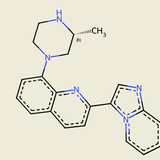 C[C@@H]1CN(c2cccc3ccc(-c4cnc5ccccn45)nc23)CCN1